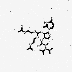 CC(=O)OCCOC(OCCOC(C)=O)O[C@@H]1[C@H](OP(O)N(C)N(C(C)C)C(C)C)[C@@H](C)O[C@H]1n1ccc(=O)[nH]c1=O